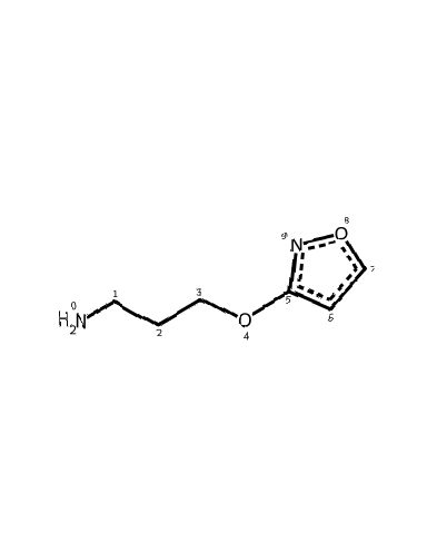 NCCCOc1ccon1